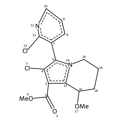 COC(=O)c1c(Cl)c(-c2cccnc2Cl)n2c1C(OC)CCC2